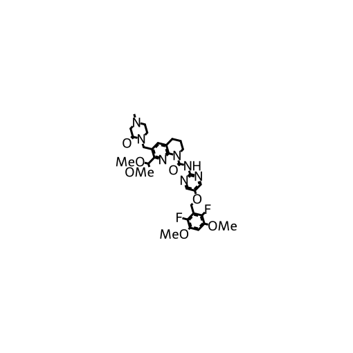 COc1cc(OC)c(F)c(COc2cnc(NC(=O)N3CCCc4cc(CN5CCN(C)CC5=O)c(C(OC)OC)nc43)nc2)c1F